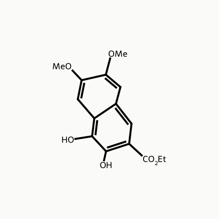 CCOC(=O)c1cc2cc(OC)c(OC)cc2c(O)c1O